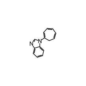 C1=CC=C(n2cnc3ccccc32)CC=C1